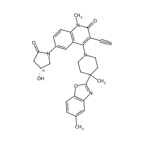 Cc1ccc2oc(C3(C)CCN(c4c(C#N)c(=O)n(C)c5ccc(N6C[C@H](O)CC6=O)cc45)CC3)nc2c1